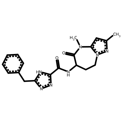 Cc1cc2n(n1)CCC(NC(=O)c1nnc(Cc3ccccc3)[nH]1)C(=O)N2C